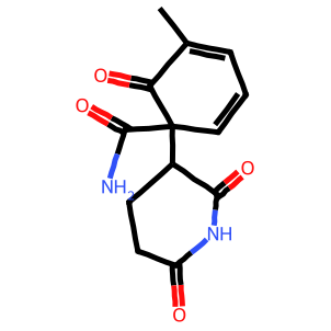 CC1=CC=CC(C(N)=O)(C2CCC(=O)NC2=O)C1=O